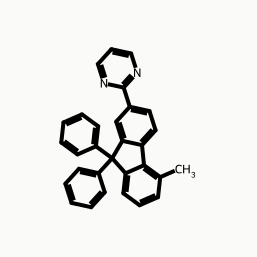 Cc1cccc2c1-c1ccc(-c3ncccn3)cc1C2(c1ccccc1)c1ccccc1